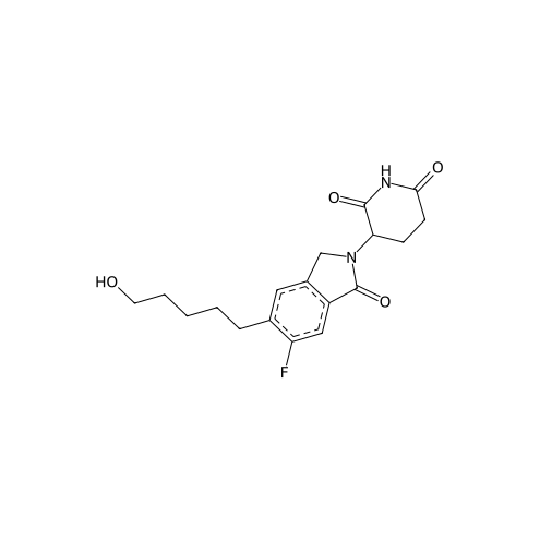 O=C1CCC(N2Cc3cc(CCCCCO)c(F)cc3C2=O)C(=O)N1